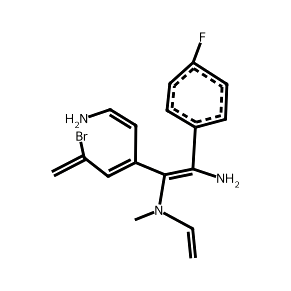 C=CN(C)C(=C(\N)c1ccc(F)cc1)/C(/C=C\N)=C/C(=C)Br